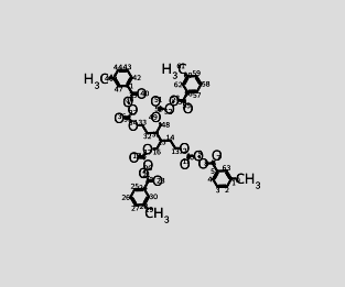 Cc1cccc(C(=O)OOC(=O)OCCC(COC(=O)OOC(=O)c2cccc(C)c2)C(CCOC(=O)OOC(=O)c2cccc(C)c2)COC(=O)OOC(=O)c2cccc(C)c2)c1